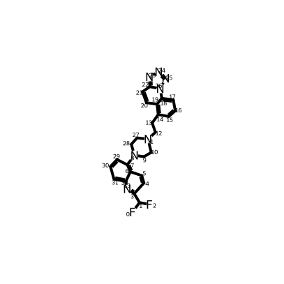 FC(F)c1ccc2c(N3CCN(CCc4cccc5c4ccc4nnnn45)CC3)cccc2n1